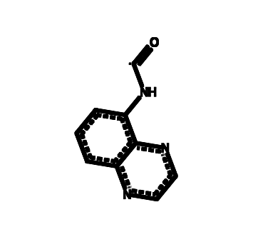 O=[C]Nc1cccc2nccnc12